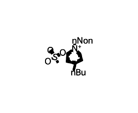 CCCCCCCCC[n+]1ccc(CCCC)cc1.CS(=O)(=O)[O-]